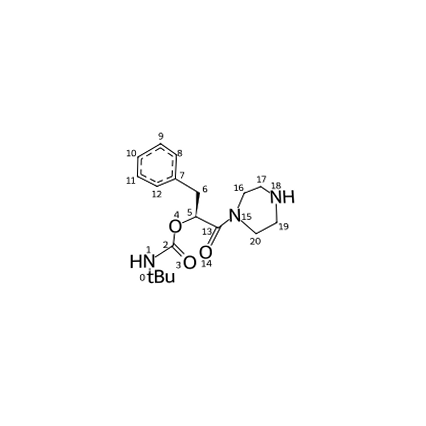 CC(C)(C)NC(=O)O[C@@H](Cc1ccccc1)C(=O)N1CCNCC1